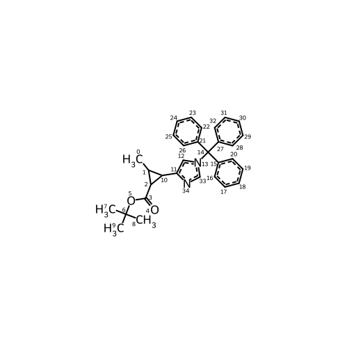 CC1C(C(=O)OC(C)(C)C)C1c1cn(C(c2ccccc2)(c2ccccc2)c2ccccc2)cn1